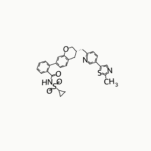 Cc1ncc(-c2ccc(C[C@H]3COc4cc(-c5ccccc5C(=O)NS(=O)(=O)C5CC5)ccc4C3)nc2)s1